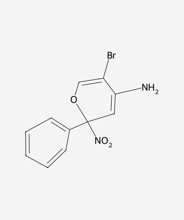 NC1=CC(c2ccccc2)([N+](=O)[O-])OC=C1Br